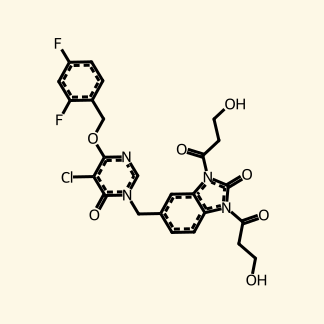 O=C(CCO)n1c(=O)n(C(=O)CCO)c2cc(Cn3cnc(OCc4ccc(F)cc4F)c(Cl)c3=O)ccc21